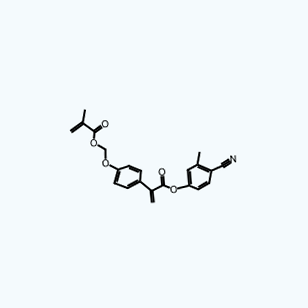 C=C(C)C(=O)OCOc1ccc(C(=C)C(=O)Oc2ccc(C#N)c(C)c2)cc1